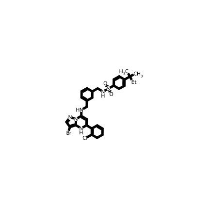 CCC(C)(C)C1=CCC(S(=O)(=O)NCC2C=CC=C(CNC3=CC(C4=C(Cl)CCC=C4)Nc4c(Br)cnn43)C2)C=C1